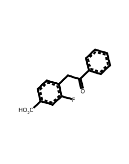 O=C(O)c1ccc(CC(=O)c2ccccc2)c(F)c1